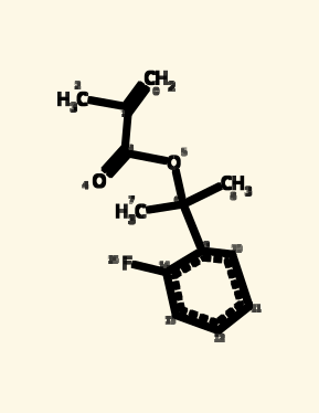 C=C(C)C(=O)OC(C)(C)c1ccccc1F